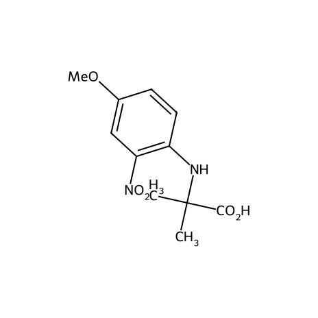 COc1ccc(NC(C)(C)C(=O)O)c([N+](=O)[O-])c1